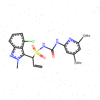 C=CC(c1c2c(Cl)cccc2nn1C)S(=O)(=O)NC(=O)Nc1cc(OC)cc(OC)n1